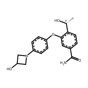 C[C@@H](O)c1ccc(C(N)=O)cc1Oc1ccc(N2CC(O)C2)cc1